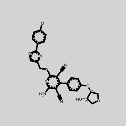 N#Cc1c(N)nc(SCc2coc(-c3ccc(Cl)cc3)n2)c(C#N)c1-c1ccc(O[C@H]2COC[C@@H]2O)cc1